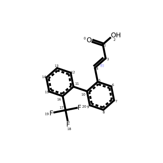 O=C(O)/C=C/c1ccccc1-c1ccccc1C(F)(F)F